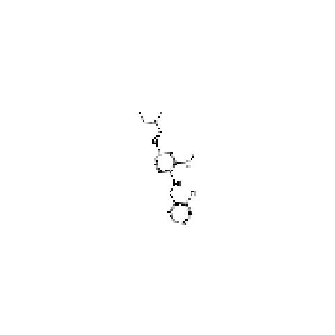 CCN(C)C=Nc1cc(OC)c(NCc2ccccc2Cl)cc1C